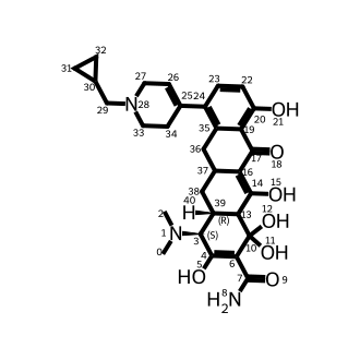 CN(C)[C@@H]1C(O)=C(C(N)=O)C(O)(O)C2C(O)=C3C(=O)c4c(O)ccc(C5=CCN(CC6CC6)CC5)c4CC3C[C@H]21